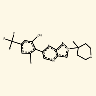 Cc1cc(C(F)(F)F)cc(O)c1-c1cnc2cn(C3(C)CCOCC3)nc2n1